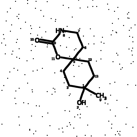 CC1(O)CCC2(CCNC(=O)O2)CC1